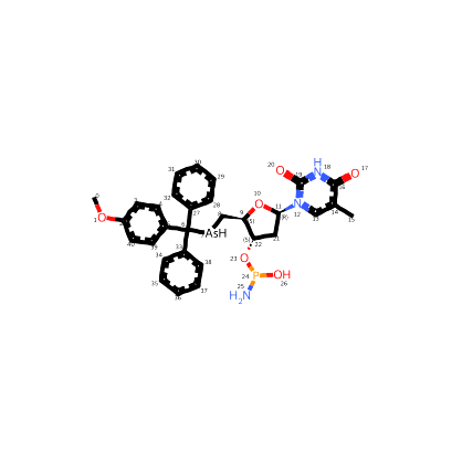 COc1ccc(C([AsH]C[C@H]2O[C@@H](n3cc(C)c(=O)[nH]c3=O)C[C@@H]2OP(N)O)(c2ccccc2)c2ccccc2)cc1